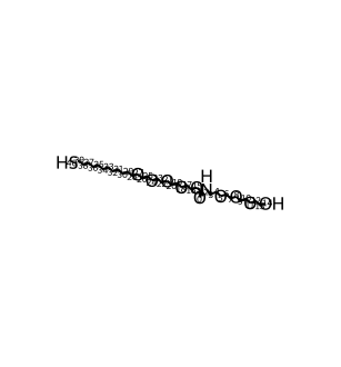 O=C(NCCOCCOCCOCCO)OCCOCCOCCOCCOCCCCCCCCCCCCS